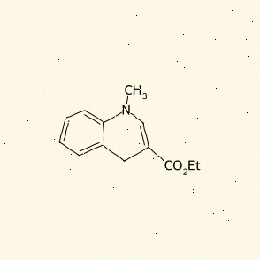 CCOC(=O)C1=CN(C)c2ccccc2C1